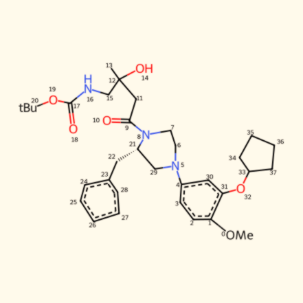 COc1ccc(N2CCN(C(=O)CC(C)(O)CNC(=O)OC(C)(C)C)[C@@H](Cc3ccccc3)C2)cc1OC1CCCC1